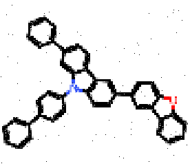 c1ccc(-c2ccc(-n3c4ccc(-c5ccc6oc7ccccc7c6c5)cc4c4ccc(-c5ccccc5)cc43)cc2)cc1